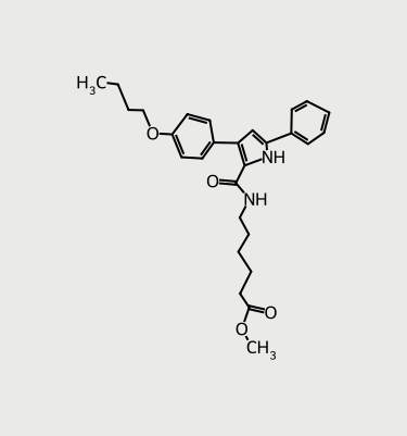 CCCCOc1ccc(-c2cc(-c3ccccc3)[nH]c2C(=O)NCCCCCC(=O)OC)cc1